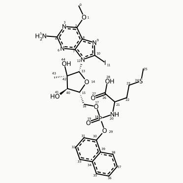 COc1nc(N)nc2c1nc(I)n2[C@@H]1O[C@H](COP(=O)(NC(CCSC)C(=O)O)Oc2cccc3ccccc23)[C@@H](O)[C@@]1(C)O